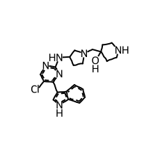 OC1(CN2CCC(Nc3ncc(Cl)c(-c4c[nH]c5ccccc45)n3)C2)CCNCC1